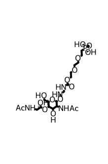 CC(=O)NC[C@@H](O)OC1C(CO)OC(ONCNC(=O)OCCOCCOCCP(=O)(O)O)C(NC(C)=O)C1O